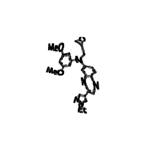 CCn1cc(-c2cnc3ccc(N(CC4CO4)c4cc(OC)cc(OC)c4)cc3n2)cn1